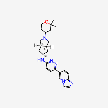 CC1(C)CC(N2C[C@H]3C[C@H](Nc4ccc(-c5ccc6nccn6c5)nn4)C[C@H]3C2)CCO1